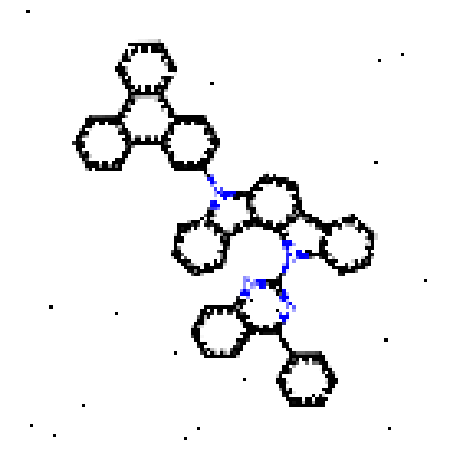 c1ccc(-c2nc(-n3c4ccccc4c4ccc5c(c6ccccc6n5-c5ccc6c7ccccc7c7ccccc7c6c5)c43)nc3ccccc23)cc1